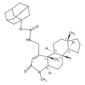 CN1C(=O)C=C(CNC(=O)OC23CC4CC(CC(C4)C2)C3)[C@]2(C)[C@H]3CC[C@]4(C)CCC[C@H]4[C@@H]3CC[C@@H]12